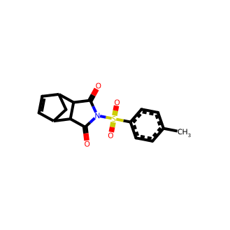 Cc1ccc(S(=O)(=O)N2C(=O)C3C4C=CC(C4)C3C2=O)cc1